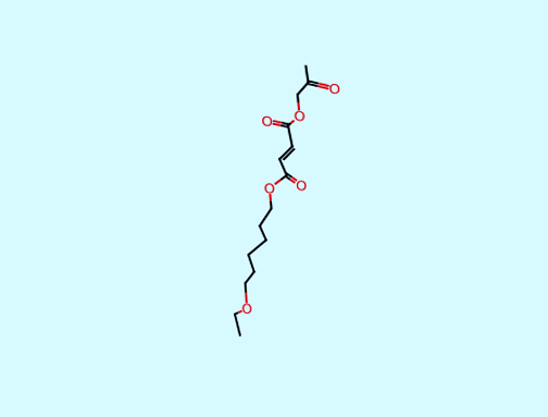 CCOCCCCCCOC(=O)/C=C/C(=O)OCC(C)=O